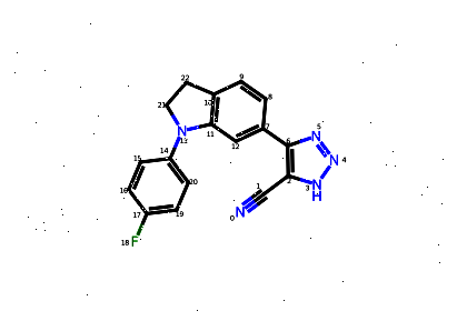 N#Cc1[nH]nnc1-c1ccc2c(c1)N(c1ccc(F)cc1)CC2